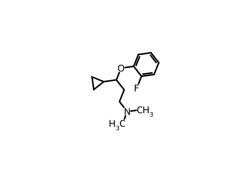 CN(C)CCC(Oc1ccccc1F)C1CC1